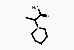 NC(=O)C(I)N1CCCCC1